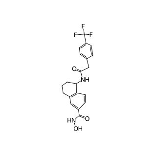 O=C(Cc1ccc(C(F)(F)F)cc1)NC1CCCc2cc(C(=O)NO)ccc21